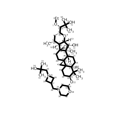 CCO[C@@H]([C@H]1C[C@@H](C)[C@H]2[C@H](O1)[C@H](O)[C@@]1(C)[C@@H]3CC[C@H]4C(C)(C)[C@@H](O[C@H]5CN(CC6CN(CC(C)(C)O)C6)CCO5)CCC45C[C@@]35CC[C@]21C)C(C)(C)O